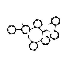 Cc1cc2[n+](cc1-c1ccccc1)Cc1ccccc1-c1cccc[n+]1/C(=C\[n+]1ccccc1-c1ccccc1C)c1ccccc1-2